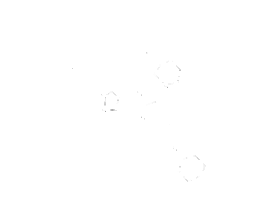 Cc1cccc(F)c1N1CCC(N2Cc3nn(C(F)C4CC4)cc3N(Cc3ncccc3C(F)(F)F)C2=O)CC1